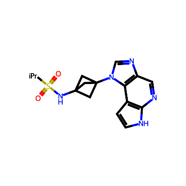 CC(C)S(=O)(=O)NC12CC(n3cnc4cnc5[nH]ccc5c43)(C1)C2